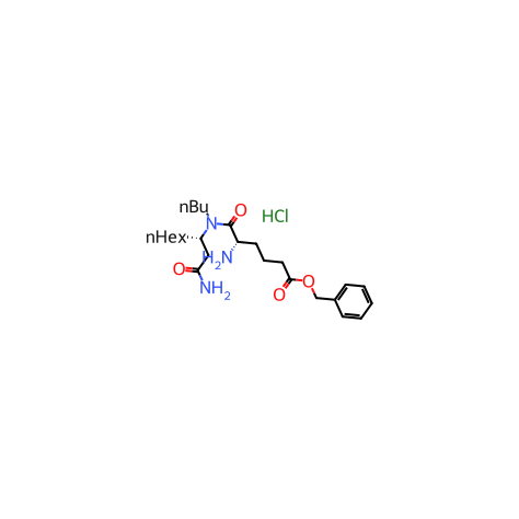 CCCCCC[C@@H](CC(N)=O)N(CCCC)C(=O)[C@@H](N)CCCC(=O)OCc1ccccc1.Cl